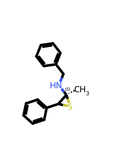 C[C@]1(NCc2ccccc2)SC1c1ccccc1